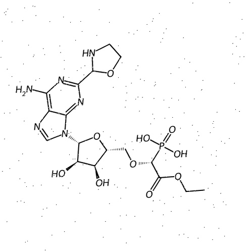 CCOC(=O)[C@H](OC[C@H]1O[C@@H](n2cnc3c(N)nc(C4NCCO4)nc32)[C@H](O)[C@@H]1O)P(=O)(O)O